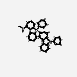 CN(C)c1cccc([Si](c2ccccc2)(c2ccccc2)c2ccc3c(c2)c2ccccc2n3-c2ccccc2)c1